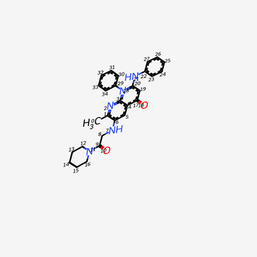 Cc1nc2c(cc1NCC(=O)N1CCCCC1)c(=O)cc(Nc1ccccc1)n2-c1ccccc1